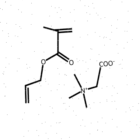 C=CCOC(=O)C(=C)C.C[N+](C)(C)CC(=O)[O-]